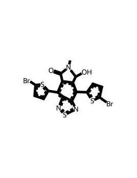 CN1C(=O)c2c(c(-c3ccc(Br)s3)c3nsnc3c2-c2ccc(Br)s2)C1O